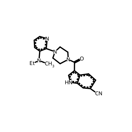 CCN(C)c1cccnc1N1CCN(C(=O)c2c[nH]c3cc(C#N)ccc23)CC1